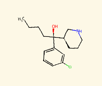 CCCC[C@@](O)(c1cccc(Cl)c1)[C@@H]1CCCNC1